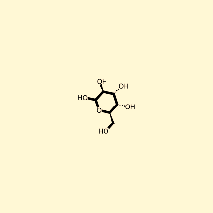 OC[C@H]1O[C](O)[C@@H](O)[C@H](O)[C@@H]1O